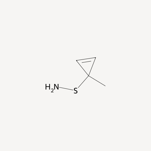 CC1(SN)C=C1